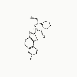 CC(C)(C)OC(=O)N1CCCC[C@@H]1C(=O)Nc1nc2ccc3cc(F)ccc3c2s1